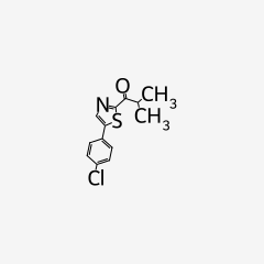 CC(C)C(=O)c1ncc(-c2ccc(Cl)cc2)s1